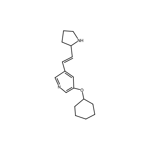 C(=CC1CCCN1)c1cncc(OC2CCCCC2)c1